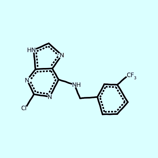 FC(F)(F)c1cccc(CNc2nc(Cl)nc3[nH]cnc23)c1